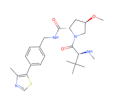 CN[C@H](C(=O)N1C[C@H](OC)C[C@H]1C(=O)NCc1ccc(-c2scnc2C)cc1)C(C)(C)C